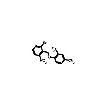 Cc1ccc(OCc2c(Br)cccc2[N+](=O)[O-])c(C(F)(F)F)c1